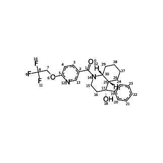 O=C(c1ccc(OCC(F)(F)F)nc1)N1CC[C@](O)(c2ccccc2)[C@H]2CCCC[C@H]21